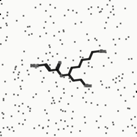 CCCCCCCCCCCCCCCC(CCCCCCCCCCCC)OC(=O)/C=C/C(=O)O